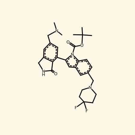 CN(C)Cc1cc2c(c(-c3cc4cc(CN5CCC(F)(F)CC5)ccc4n3C(=O)OC(C)(C)C)c1)C(=O)NC2